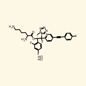 Cl.Cl.NCCCCC(N)C(=O)O[C@](Cn1cnnn1)(c1ccc(F)cc1F)C(F)(F)c1ccc(C#Cc2ccc(F)cc2)cn1